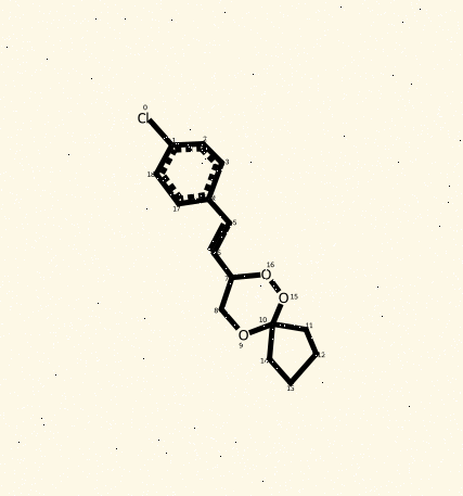 Clc1ccc(C=CC2COC3(CCCC3)OO2)cc1